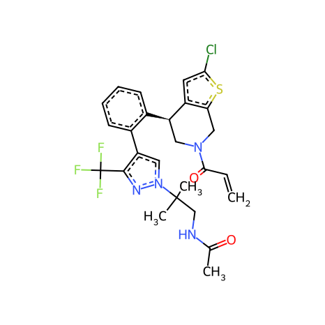 C=CC(=O)N1Cc2sc(Cl)cc2[C@H](c2ccccc2-c2cn(C(C)(C)CNC(C)=O)nc2C(F)(F)F)C1